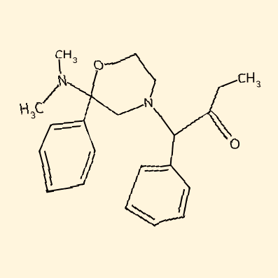 CCC(=O)C(c1ccccc1)N1CCOC(c2ccccc2)(N(C)C)C1